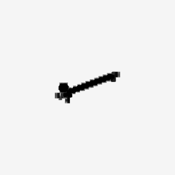 Cc1[nH]cc(CCCCCCCCCCCCCCCCCCCC(=O)O)[n+]1-c1ccccc1